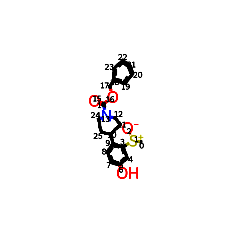 C[S+]([O-])c1cc(O)ccc1C1CCN(C(=O)OCc2ccccc2)CC1